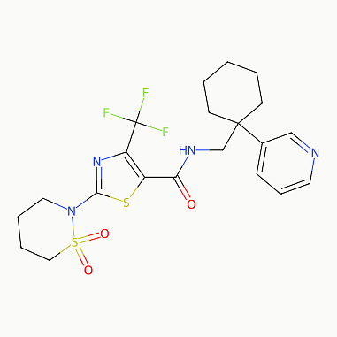 O=C(NCC1(c2cccnc2)CCCCC1)c1sc(N2CCCCS2(=O)=O)nc1C(F)(F)F